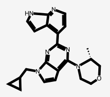 C[C@@H]1COCCN1c1nc(-c2ccnc3[nH]ccc23)nc2c1ccn2CC1CC1